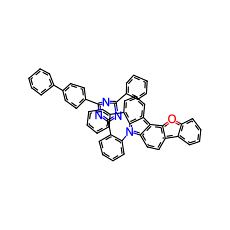 c1ccc(-c2ccc(-c3nc(-c4ccccc4)nc(-c4ccccc4-n4c5ccc6c7ccccc7oc6c5c5cccc(-c6ccccc6)c54)n3)cc2)cc1